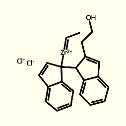 C[CH]=[Zr+2][C]1(C2C(CCO)=Cc3ccccc32)C=Cc2ccccc21.[Cl-].[Cl-]